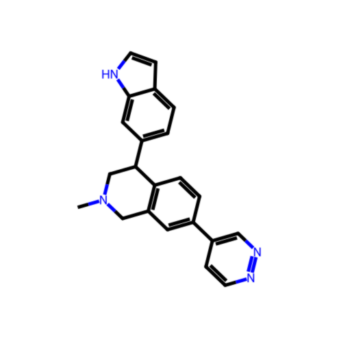 CN1Cc2cc(-c3ccnnc3)ccc2C(c2ccc3cc[nH]c3c2)C1